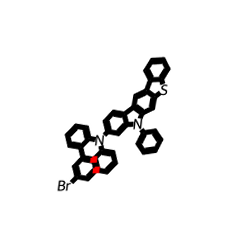 Brc1cccc(-c2ccccc2N(c2ccccc2)c2ccc3c4cc5c(cc4n(-c4ccccc4)c3c2)sc2ccccc25)c1